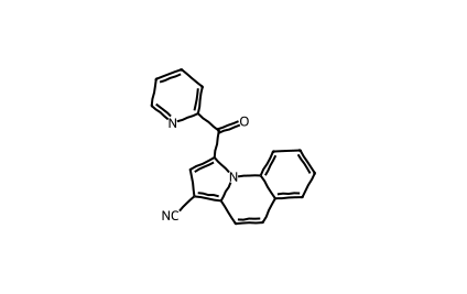 N#Cc1cc(C(=O)c2ccccn2)n2c1ccc1ccccc12